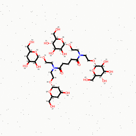 O=C(CCCC(=O)N(CCO[C@H]1OC(CO)[C@@H](O)C(O)C1O)CCO[C@H]1OC(CO)[C@@H](O)C(O)C1O)N(CCO[C@@H]1CC(O)CC(CO)O1)CCO[C@H]1OC(CO)CC(O)C1O